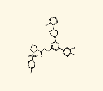 O=C(NCc1cc(-c2ccc(F)c(Cl)c2)nc(N2CCN(c3ccccc3F)CC2)n1)[C@@H]1CCCN1S(=O)(=O)c1ccc(F)cc1